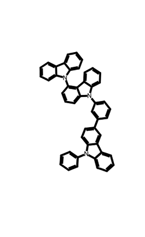 c1ccc(-n2c3ccccc3c3cc(-c4cccc(-n5c6ccccc6c6c(-n7c8ccccc8c8ccccc87)cccc65)c4)ccc32)cc1